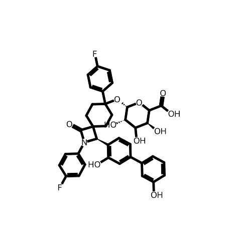 O=C(O)C1O[C@@H](OC2(c3ccc(F)cc3)CCC3(CC2)C(=O)N(c2ccc(F)cc2)[C@@H]3c2ccc(-c3cccc(O)c3)cc2O)[C@@H](O)C(O)[C@@H]1O